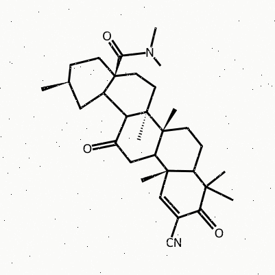 C[C@H]1CC[C@]2(C(=O)N(C)C)CC[C@]3(C)C(C(=O)CC4[C@@]5(C)C=C(C#N)C(=O)C(C)(C)C5CC[C@]43C)C2C1